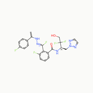 C=C(N/N=C(\F)c1c(F)cccc1C(=O)N[C@H](Cn1nccn1)C(F)(F)CO)c1ccc(F)cc1